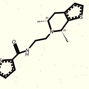 C[C@@H]1Cc2ccsc2[C@H](C)N1CCNC(=O)c1cccs1